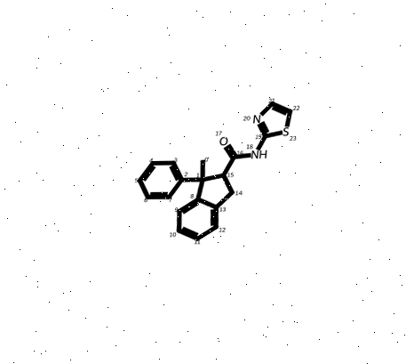 CC1(c2ccccc2)c2ccccc2CC1C(=O)Nc1nccs1